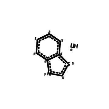 [LiH].c1ccc2scnc2c1